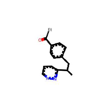 CCC(=O)c1ccc(CC(C)c2cccnn2)cc1